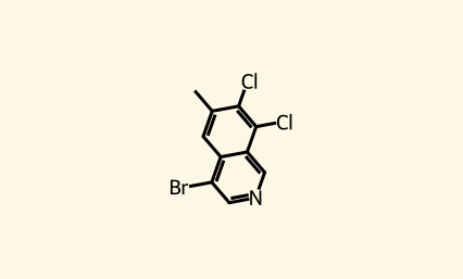 Cc1cc2c(Br)cncc2c(Cl)c1Cl